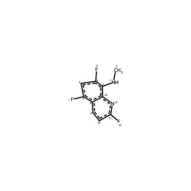 CNc1c(F)cc(F)c2ccc(F)nc12